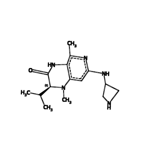 Cc1nc(NC2CNC2)cc2c1NC(=O)[C@H](C(C)C)N2C